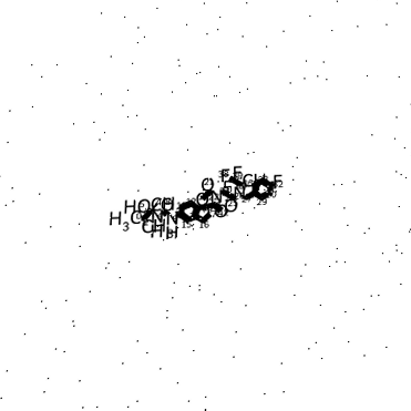 CC(C)[C@](C)(O)NC(=O)Nc1ccc2c(c1)CC[C@@]21OC(=O)N(CC(=O)N(Cc2ccc(F)cc2)[C@@H](C)C(F)(F)F)C1=O